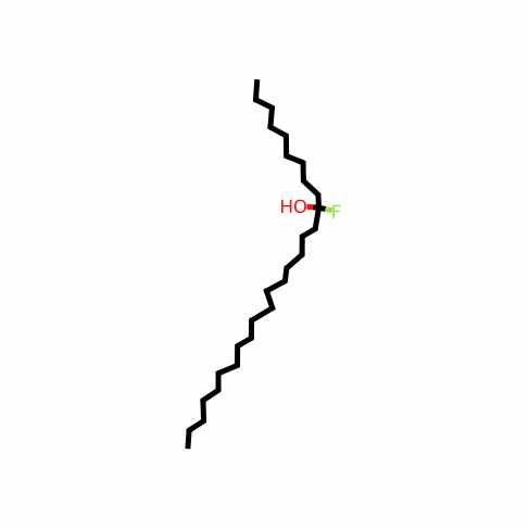 CCCCCCCCCCCCCCCCCC(O)(F)CCCCCCCCC